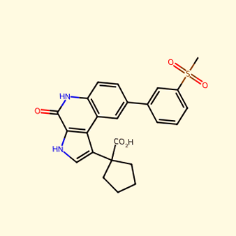 CS(=O)(=O)c1cccc(-c2ccc3[nH]c(=O)c4[nH]cc(C5(C(=O)O)CCCC5)c4c3c2)c1